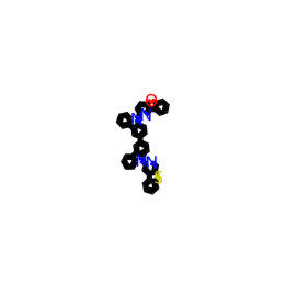 c1ccc2c(c1)oc1ccc(-n3c4ccccc4c4cc(-c5ccc6c(c5)c5ccccc5n6-c5cc6c(cn5)sc5ccccc56)ccc43)nc12